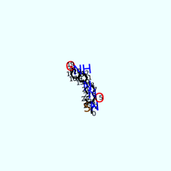 Cc1nc(C(=O)N2CCN(c3ccc4c(c3)CCC(=O)N4)CC2)c(C)s1